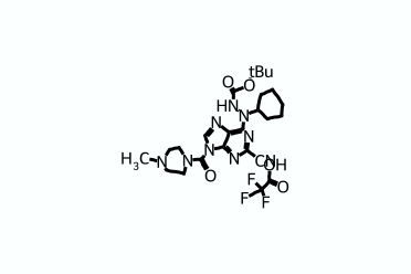 CN1CCN(C(=O)n2cnc3c(N(NC(=O)OC(C)(C)C)C4CCCCC4)nc(C#N)nc32)CC1.O=C(O)C(F)(F)F